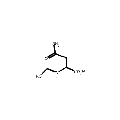 NC(=O)CC(NCO)C(=O)O